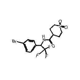 O=C(NC(c1ccc(Br)cc1)C(F)(F)F)C1CCS(=O)(=O)CC1